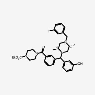 CCOC(=O)N1CCN(C(=O)c2cccc(C(c3cccc(O)c3)N3C[C@@H](C)N(Cc4cccc(F)c4)C[C@@H]3C)c2)CC1